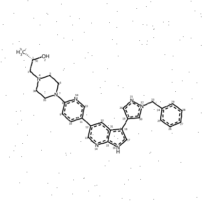 C[C@H](O)CN1CCN(c2ccc(-c3cnc4[nH]cc(-c5cnn(Cc6ccccc6)c5)c4c3)cn2)CC1